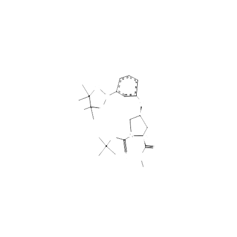 COC(=O)[C@@H]1C[C@H](Oc2cccc(B3OC(C)(C)C(C)(C)O3)c2)CN1C(=O)OC(C)(C)C